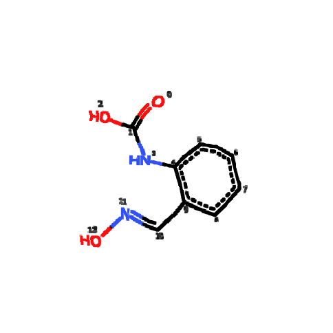 O=C(O)Nc1ccccc1C=NO